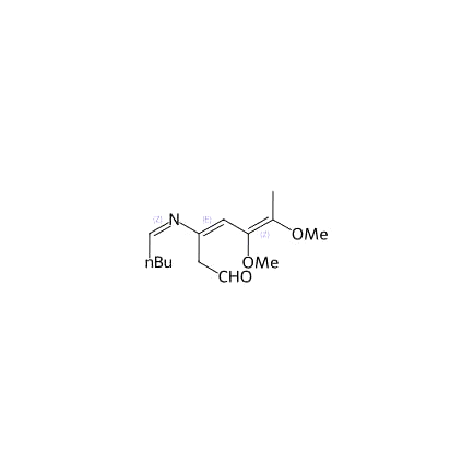 CCCC\C=N/C(=C/C(OC)=C(\C)OC)CC=O